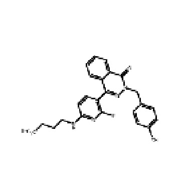 CCOC(=O)CCCNc1ccc(-c2nn(Cc3ccc(C#N)cc3)c(=O)c3ccccc23)c(F)n1